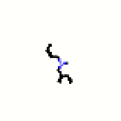 C=CC(=C)CN(C)C/C=C\C